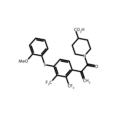 C=C(C(=O)N1CCC(C(=O)O)CC1)c1ccc(Sc2ccccc2OC)c(C(F)(F)F)c1C(F)(F)F